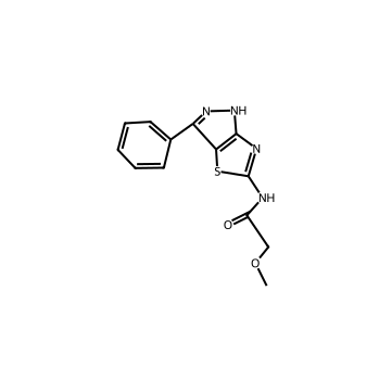 COCC(=O)Nc1nc2[nH]nc(-c3ccccc3)c2s1